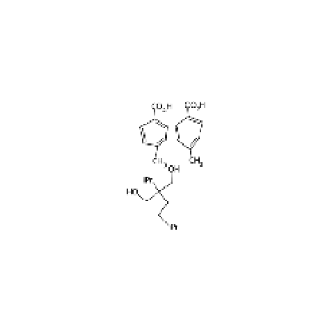 CC(C)CCC(CO)(CO)C(C)C.Cc1ccc(C(=O)O)cc1.Cc1ccc(C(=O)O)cc1